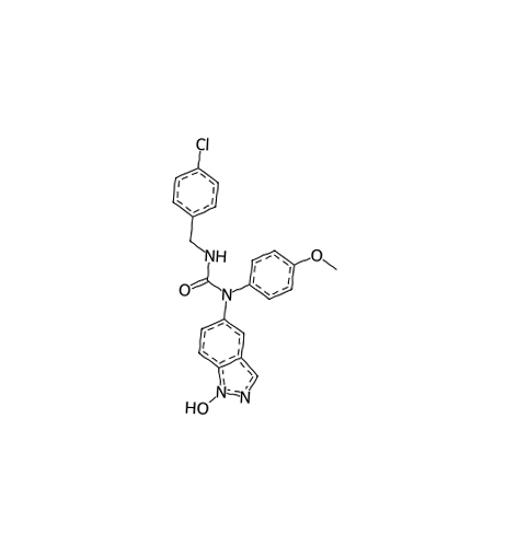 COc1ccc(N(C(=O)NCc2ccc(Cl)cc2)c2ccc3c(cnn3O)c2)cc1